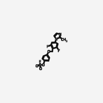 Cc1nccn1-c1cc(F)c(COc2ccc(OS(=O)(=O)F)cc2)c(F)c1